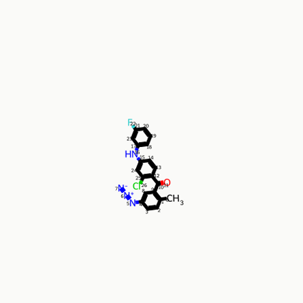 Cc1ccc(N=[N+]=[N-])cc1C(=O)c1ccc(Nc2cccc(F)c2)cc1Cl